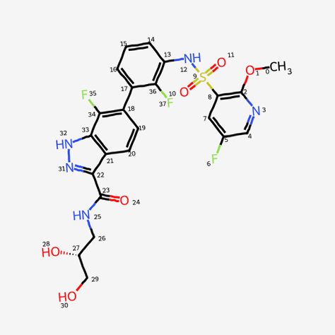 COc1ncc(F)cc1S(=O)(=O)Nc1cccc(-c2ccc3c(C(=O)NC[C@@H](O)CO)n[nH]c3c2F)c1F